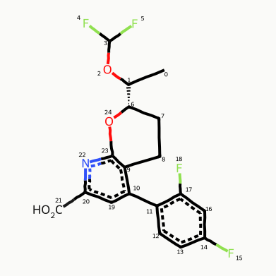 CC(OC(F)F)[C@@H]1CCc2c(-c3ccc(F)cc3F)cc(C(=O)O)nc2O1